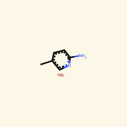 Br.Cc1ccc(N)nc1